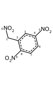 O=[N+]([O-])Cc1cc([N+](=O)[O-])ccc1[N+](=O)[O-]